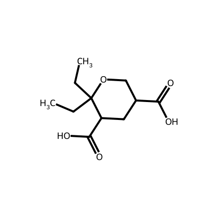 CCC1(CC)OCC(C(=O)O)CC1C(=O)O